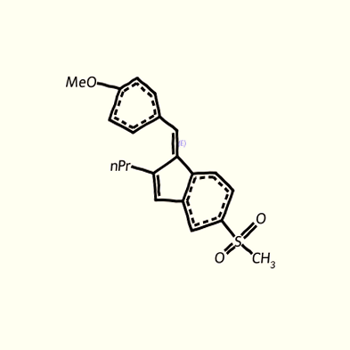 CCCC1=Cc2cc(S(C)(=O)=O)ccc2/C1=C/c1ccc(OC)cc1